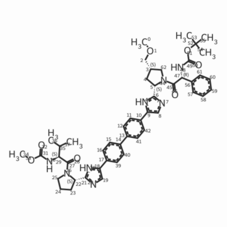 COC[C@H]1C[C@@H](c2ncc(-c3ccc(-c4ccc(-c5cnc([C@@H]6CCCN6C(=O)[C@@H](NC(=O)OC)C(C)C)[nH]5)cc4)cc3)[nH]2)N(C(=O)[C@H](NC(=O)OC(C)(C)C)c2ccccc2)C1